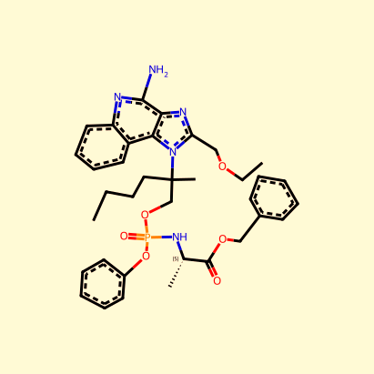 CCCCC(C)(COP(=O)(N[C@@H](C)C(=O)OCc1ccccc1)Oc1ccccc1)n1c(COCC)nc2c(N)nc3ccccc3c21